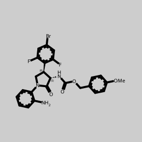 COc1ccc(COC(=O)N[C@@H]2C(=O)N(c3ccccc3N)C[C@H]2c2c(F)cc(Br)cc2F)cc1